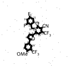 COc1ccc(-c2ccc(-c3cc(C(F)(F)F)c(C#N)c(=O)n3Cc3ccc(F)cc3F)o2)cc1C(F)(F)F